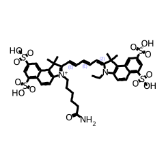 CCN1\C(=C/C=C/C=C/C2=[N+](CCCCCC(N)=O)c3ccc4c(S(=O)(=O)O)cc(S(=O)(=O)O)cc4c3C2(C)C)C(C)(C)c2c1ccc1c(S(=O)(=O)O)cc(S(=O)(=O)O)cc21